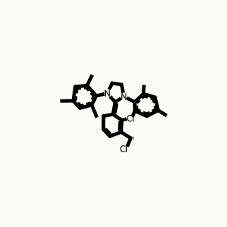 Cc1cc(C)c(N2CCN(c3c(C)cc(C)cc3C)C2=C2CC=CC([C]Cl)=C2Cl)c(C)c1